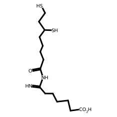 N=C(CCCCCC(=O)O)NC(=O)CCCCC(S)CCS